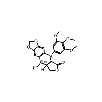 COc1cc([C@@H]2c3cc4c(cc3[C@H](O)[C@H]3COC(=O)C23)OCO4)cc(OC)c1OC